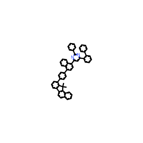 CC1(C)c2c(-c3ccc(-c4ccc(-c5cc(-c6ccccc6-c6ccccc6)nc(-c6ccccc6)n5)c5ccccc45)cc3)cccc2-c2ccc3ccccc3c21